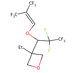 CCC1(C(OC=C(C(F)(F)F)C(F)(F)F)C(F)(F)C(F)(F)F)COC1